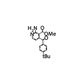 COC(=O)c1c(C(=O)c2ccc(C(C)(C)C)cc2)ccnc1N